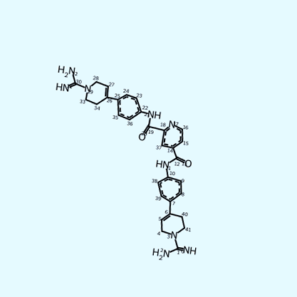 N=C(N)N1CC=C(c2ccc(NC(=O)c3ccnc(C(=O)Nc4ccc(C5=CCN(C(=N)N)CC5)cc4)c3)cc2)CC1